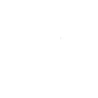 CCC1(C2CCCCC2)CCCCC1.O=CO